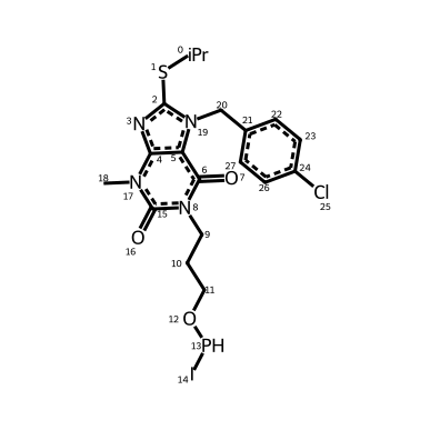 CC(C)Sc1nc2c(c(=O)n(CCCOPI)c(=O)n2C)n1Cc1ccc(Cl)cc1